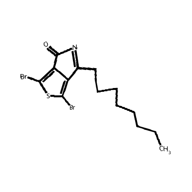 CCCCCCCCC1=NC(=O)c2c(Br)sc(Br)c21